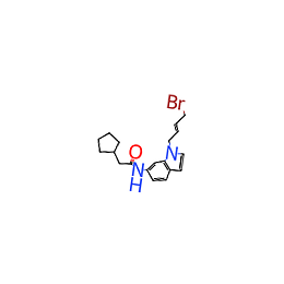 O=C(CC1CCCC1)Nc1ccc2ccn(C/C=C/CBr)c2c1